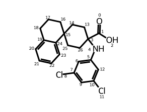 O=C(O)C1(Nc2cc(Cl)cc(Cl)c2)CCC2(CCCc3ccccc32)CC1